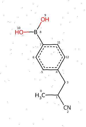 CC(C#N)Cc1ccc(B(O)O)cc1